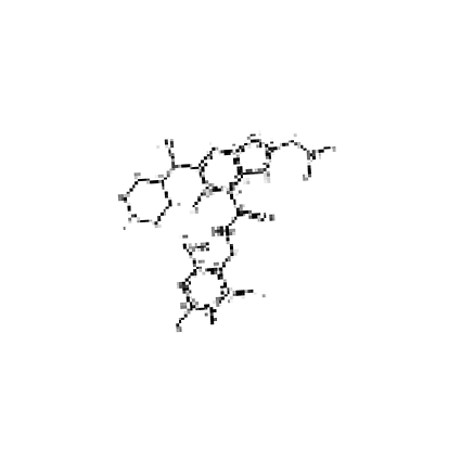 CCN(c1cc2oc(CN(C)C)nc2c(C(=O)NCc2c(OC)cc(C)[nH]c2=O)c1C)C1CCOCC1